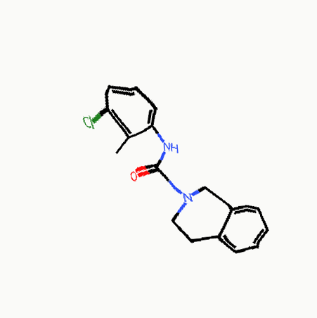 Cc1c(Cl)cccc1NC(=O)N1CCc2ccccc2C1